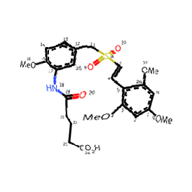 COc1cc(OC)c(/C=C/S(=O)(=O)Cc2ccc(OC)c(NC(=O)CCCC(=O)O)c2)c(OC)c1